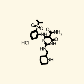 CC(C)S(=O)(=O)c1ccccc1Nc1nc(NCC2CCCCN2)[nH]c(=O)c1C(N)=O.Cl